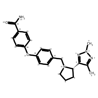 Cc1nn(C)nc1[C@@H]1CCCN1Cc1ccc(Oc2ccc(C(N)=O)cc2)cc1